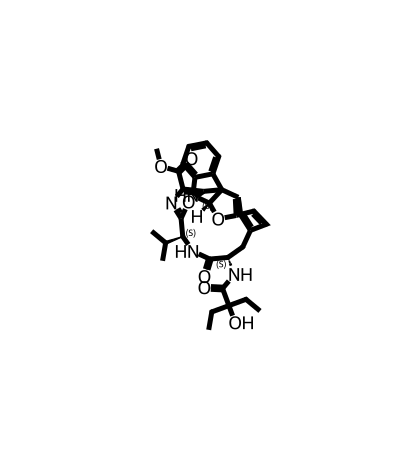 CCC(O)(CC)C(=O)N[C@H]1Cc2ccc3c(c2)C2(c4ccccc4N[C@H]2O3)c2oc(nc2C(=O)OC)[C@H](C(C)C)NC1=O